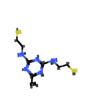 Cc1nc(NCCS)nc(NCCS)n1